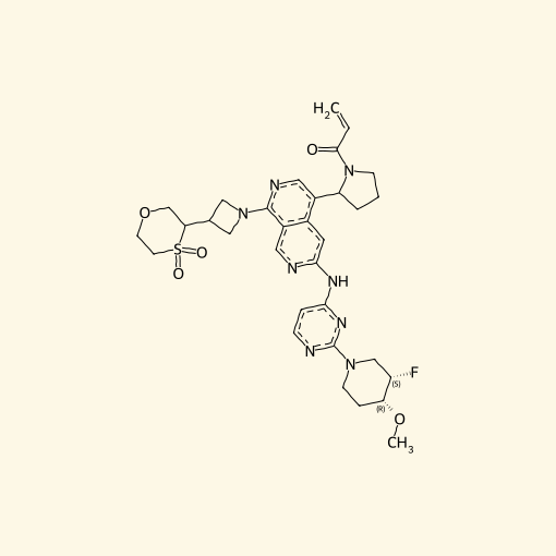 C=CC(=O)N1CCCC1c1cnc(N2CC(C3COCCS3(=O)=O)C2)c2cnc(Nc3ccnc(N4CC[C@@H](OC)[C@@H](F)C4)n3)cc12